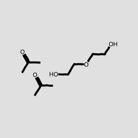 CC(C)=O.CC(C)=O.OCCOCCO